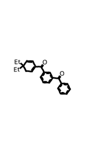 CCC1(CC)C=CC(C(=O)c2cccc(C(=O)c3ccccc3)c2)=CC1